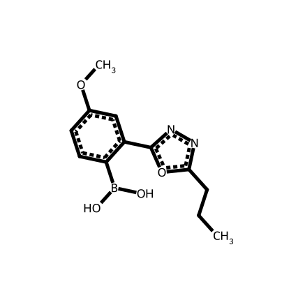 CCCc1nnc(-c2cc(OC)ccc2B(O)O)o1